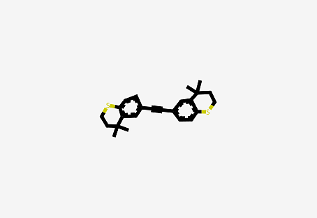 CC1(C)CCSc2ccc(C#Cc3ccc4c(c3)C(C)(C)CCS4)cc21